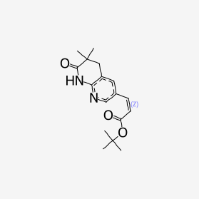 CC(C)(C)OC(=O)/C=C\c1cnc2c(c1)CC(C)(C)C(=O)N2